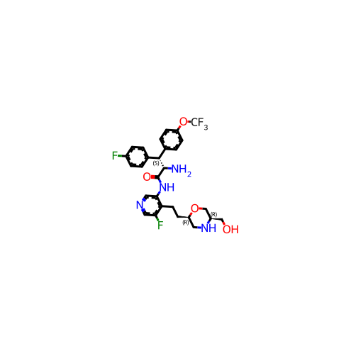 NC(C(=O)Nc1cncc(F)c1CC[C@@H]1CN[C@H](CO)CO1)[C@H](c1ccc(F)cc1)c1ccc(OC(F)(F)F)cc1